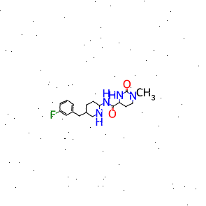 CN1CCC(C(=O)NC2CCC(Cc3cccc(F)c3)CN2)NC1=O